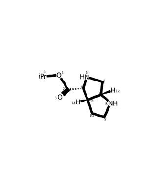 CC(C)OC(=O)[C@@H]1NC[C@@H]2NCC[C@@H]21